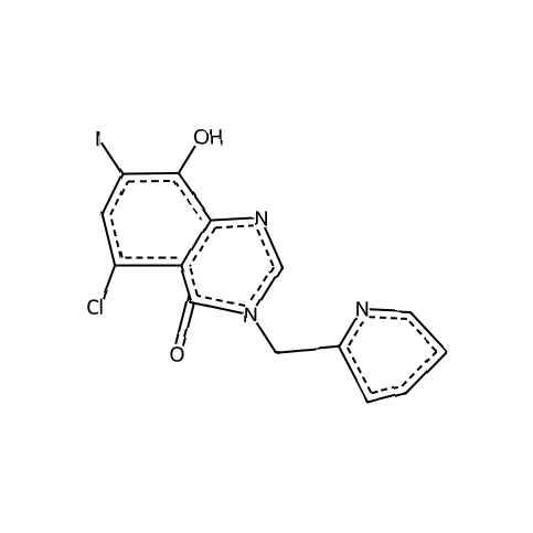 O=c1c2c(Cl)cc(I)c(O)c2ncn1Cc1ccccn1